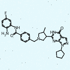 CC1CN(Cc2ccc(C(=O)Nc3cc(F)ccc3N)cc2)CC1c1nc2c(cnn2C2CCCC2)c(=O)[nH]1